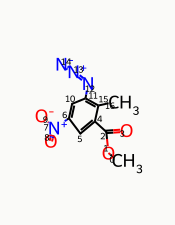 COC(=O)c1cc([N+](=O)[O-])cc(N=[N+]=[N-])c1C